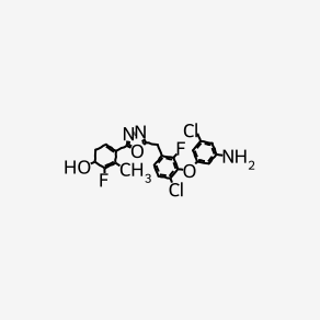 CC1=C(F)C(O)CC=C1c1nnc(Cc2ccc(Cl)c(Oc3cc(N)cc(Cl)c3)c2F)o1